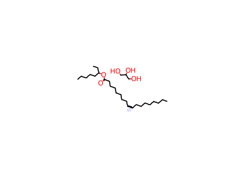 CCCCCCCC/C=C\CCCCCCCC(=O)OC(CC)CCCCC.OCC(O)CO